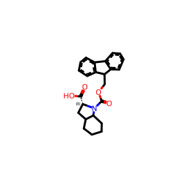 O=C(O)[C@H]1CC2CCCCC2N1C(=O)OCC1c2ccccc2-c2ccccc21